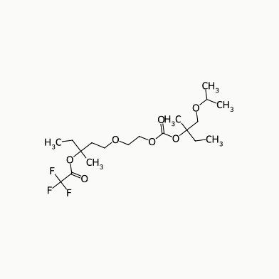 CCC(C)(COC(C)C)OC(=O)OCCOCCC(C)(CC)OC(=O)C(F)(F)F